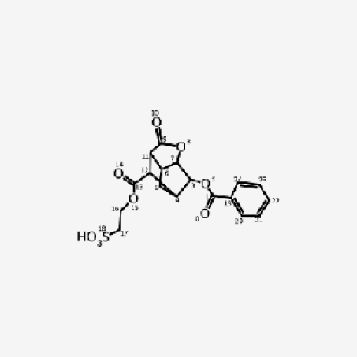 O=C(OC1C2CC3C1OC(=O)C3C2C(=O)OCCS(=O)(=O)O)c1ccccc1